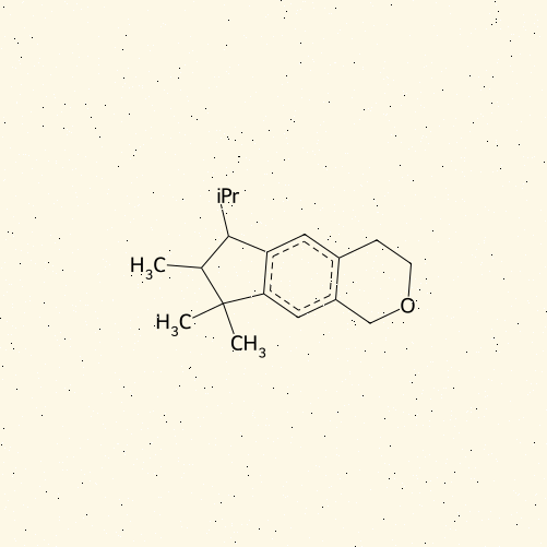 CC(C)C1c2cc3c(cc2C(C)(C)C1C)COCC3